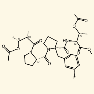 COC(=O)[C@@H](NC(=O)C1(Cc2cccc(F)c2)CCCN1C(=O)[C@@H]1CCCN1C(=O)[C@@H](C)[C@@H](C)OC(C)=O)[C@@H](C)OC(C)=O